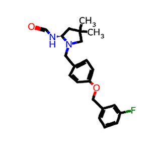 CC1(C)C[C@@H](NC=O)N(Cc2ccc(OCc3cccc(F)c3)cc2)C1